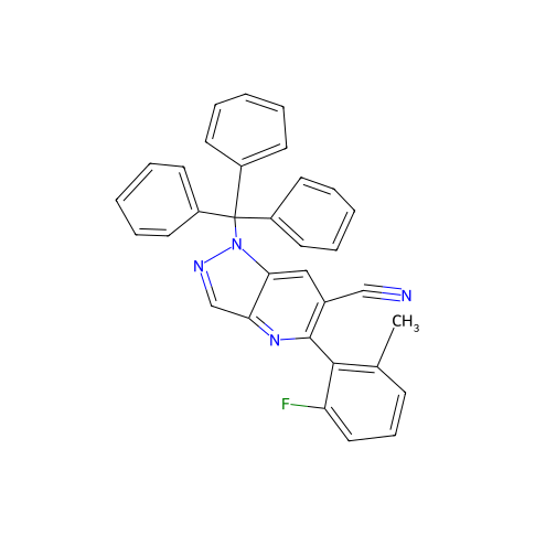 Cc1cccc(F)c1-c1nc2cnn(C(c3ccccc3)(c3ccccc3)c3ccccc3)c2cc1C#N